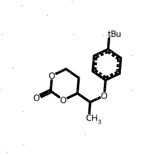 CC(Oc1ccc(C(C)(C)C)cc1)C1CCOC(=O)O1